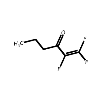 CCCC(=O)C(F)=C(F)F